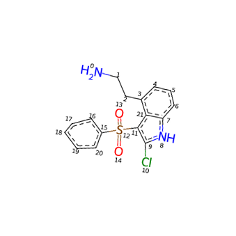 NCCc1cccc2[nH]c(Cl)c(S(=O)(=O)c3ccccc3)c12